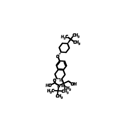 CC(C)(C)N(C(=O)O)[C@@](C)(CO)[C@@H]1CCc2cc(O[C@H]3CC[C@H](C(C)(C)C)CC3)ccc2C1